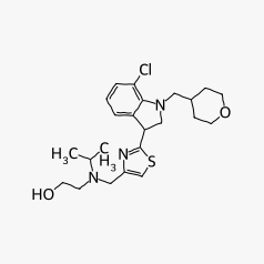 CC(C)N(CCO)Cc1csc(C2CN(CC3CCOCC3)c3c(Cl)cccc32)n1